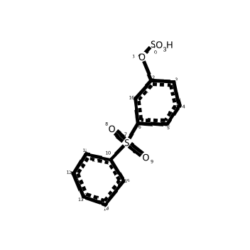 O=S(=O)(O)Oc1cccc(S(=O)(=O)c2ccccc2)c1